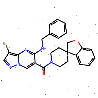 O=C(c1cn2ncc(Br)c2nc1NCc1ccccc1)N1CCC2(CC1)COc1ccccc12